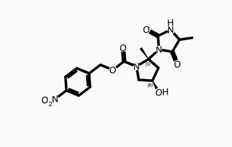 CC1NC(=O)N([C@]2(C)C[C@@H](O)CN2C(=O)OCc2ccc([N+](=O)[O-])cc2)C1=O